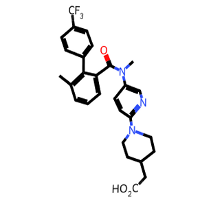 Cc1cccc(C(=O)N(C)c2ccc(N3CCC(CC(=O)O)CC3)nc2)c1-c1ccc(C(F)(F)F)cc1